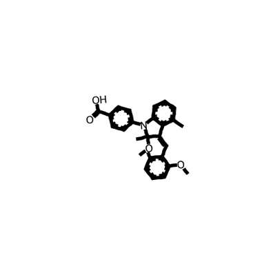 COc1cccc(C)c1/C=C1/c2c(C)cccc2N(c2ccc(C(=O)O)cc2)C1(C)OC